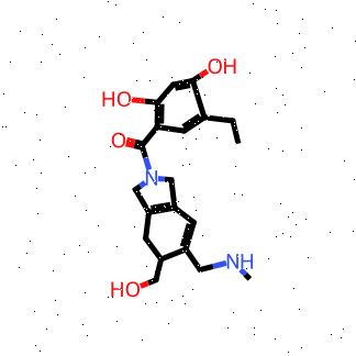 CCc1cc(C(=O)N2CC3=C(CC(CO)C(CNC)=C3)C2)c(O)cc1O